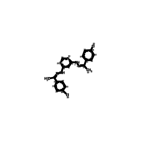 CC(=NNc1cc(NN=C(C)c2ccc(Cl)cc2)ncn1)c1ccc(Cl)cc1